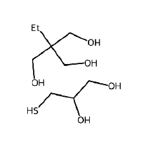 CCC(CO)(CO)CO.OCC(O)CS